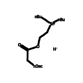 CCCCCCCCCCCC(=O)OC[CH2][Sn]([CH2]CCC)[CH2]CCC.[H-]